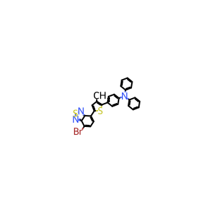 Cc1cc(-c2ccc(Br)c3nsnc23)sc1-c1ccc(N(c2ccccc2)c2ccccc2)cc1